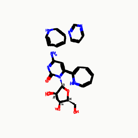 C1=CC=CNC=C1.Nc1cc(C2=CC=CC=CN2)n([C@@H]2O[C@H](CO)[C@@H](O)[C@H]2O)c(=O)n1.c1cncnc1